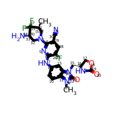 C[C@H]1CN(c2nc(Nc3ccc4c(c3)n(C[C@@H]3COC(=O)N3)c(=O)n4C)c(F)cc2C#N)C[C@@H](N)C1(F)F